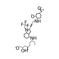 C=C(CCC(CC)Nc1cccc2c1cc(C#CCNc1ccc([S+](C)[O-])cc1OC)n2CC(F)(F)F)CC(O)COC